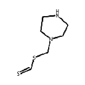 S=CSCN1CCNCC1